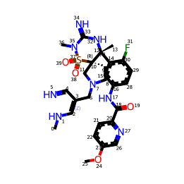 CN/C=C(\C=N)CN1CC[C@@]2(C1)[C@@](C)(c1cc(NC(=O)c3ccc(OC)cn3)ccc1F)NC(=N)N(C)S2(=O)=O